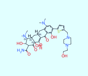 CN(C)c1cc(-c2ccc(CN3CCN(CCO)CC3)s2)c(O)c2c1C[C@H]1C[C@H]3[C@H](N(C)C)C(O)C(C(N)=O)C(=O)[C@@]3(O)C(O)=C1C2=O